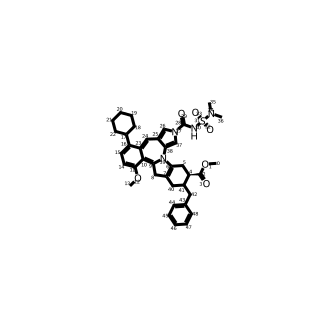 COC(=O)[C@@H]1CC2=C(CC3=c4c(OC)ccc(C5CCCCC5)c4=Cc4cn(C(=O)NS(=O)(=O)N(C)C)cc4N23)CC1Cc1ccccc1